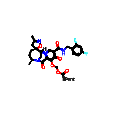 CCCCCC(=O)OCOc1c2n(cc(C(=O)NCc3ccc(F)cc3F)c1=O)[C@@H]1CN(C2=O)[C@@H](C)CC[C@]12CC(C)=NO2